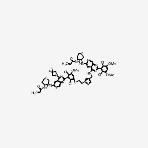 C=CC(=O)N[C@H]1CCOC[C@H]1Nc1cc2c(NCc3cnn(CCOc4cc(OC)c(Cl)c(-c5nc(N6CC(F)(F)C6)c6cc(N[C@@H]7COCC[C@@H]7NC(=O)C=C)ncc6n5)c4Cl)c3)nc(-c3c(Cl)c(OC)cc(OC)c3Cl)nc2cn1